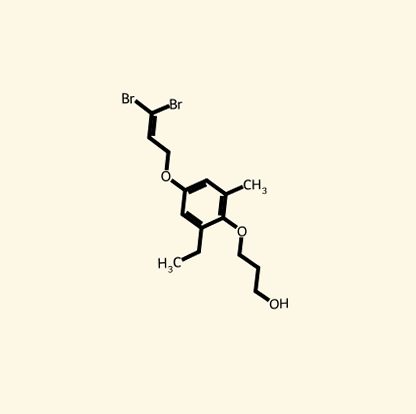 CCc1cc(OCC=C(Br)Br)cc(C)c1OCCCO